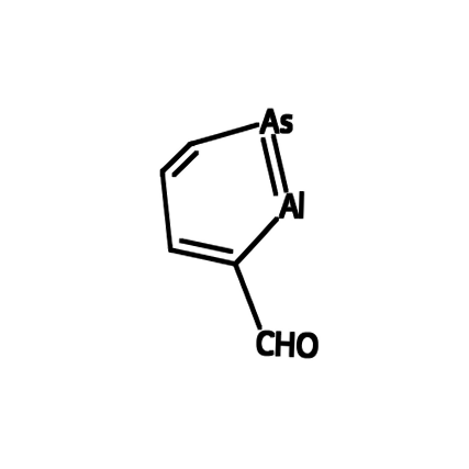 O=C[C]1=CC=C[As]=[Al]1